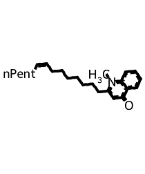 CCCCC/C=C\CCCCCCCc1cc(=O)c2ccccc2n1C